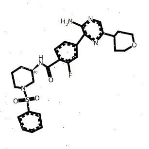 Nc1ncc(C2CCOCC2)nc1-c1ccc(C(=O)N[C@@H]2CCCN(S(=O)(=O)c3ccccc3)C2)c(F)c1